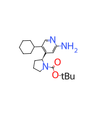 CC(C)(C)OC(=O)N1CCC[C@H]1c1cc(N)ncc1C1CCCCC1